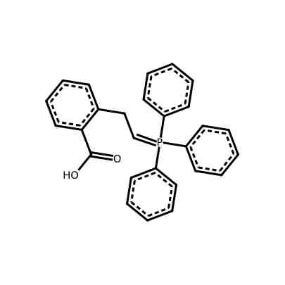 O=C(O)c1ccccc1CC=P(c1ccccc1)(c1ccccc1)c1ccccc1